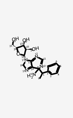 CC(c1ccccc1)C1(N)N=CN=C2C1=NCN2[C@@H]1O[C@H](CO)[C@@H](O)[C@H]1O